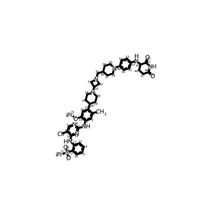 Cc1cc(Nc2ncc(Cl)c(Nc3ccccc3S(=O)(=O)C(C)C)n2)c(OC(C)C)cc1C1CCN(C2CN(CC3CCN(c4ccc(NC5CCC(=O)NC5=O)cc4)CC3)C2)CC1